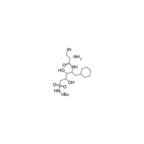 CCCCNS(=O)(=O)CC(O)C(O)C(CC1CCCCC1)NC(=O)[C@@H](N)CC(C)C